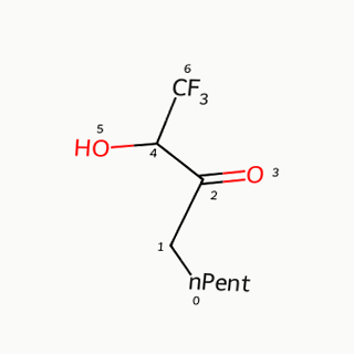 CCCCCCC(=O)C(O)C(F)(F)F